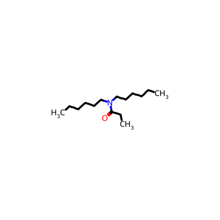 CCCCCCN(CCCCCC)C(=O)CC